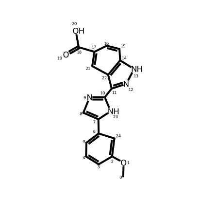 COc1cccc(-c2cnc(-c3n[nH]c4ccc(C(=O)O)cc34)[nH]2)c1